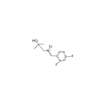 CC(C)(O)C[N+]([O-])=Cc1ccc(F)cc1F